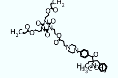 C=CC(=O)OCCn1c(=O)n(CCOC(=O)C=C)c(=O)n(CCOC(=O)CCN2CCN(c3ccc(C(=O)C(CC)(Cc4ccccc4)N(C)C)cc3)CC2)c1=O